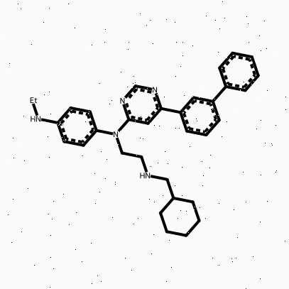 CCNc1ccc(N(CCNCC2CCCCC2)c2cc(-c3cccc(-c4ccccc4)c3)ncn2)cc1